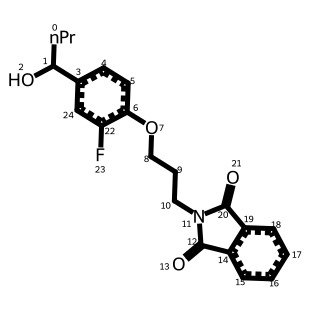 C[CH]CC(O)c1ccc(OCCCN2C(=O)c3ccccc3C2=O)c(F)c1